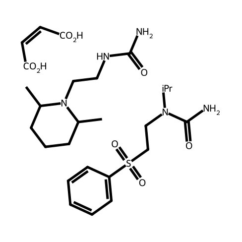 CC(C)N(CCS(=O)(=O)c1ccccc1)C(N)=O.CC1CCCC(C)N1CCNC(N)=O.O=C(O)/C=C\C(=O)O